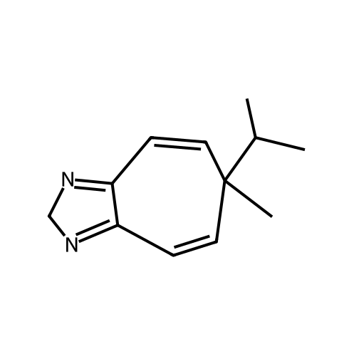 CC(C)C1(C)C=CC2=NCN=C2C=C1